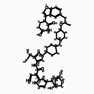 CC(Cc1ccc2occ(C3CCC(=O)NC3=O)c2c1)OC1CCN(CC2CCC(n3cc(NC(=O)/C(C=N)=C4\N=C(N5C[C@H]6C[C@@H]5CO6)C=CN4)c(C(F)F)n3)CC2)CC1